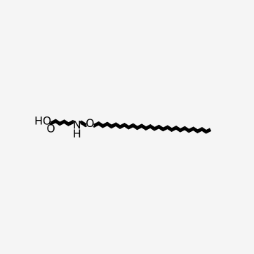 CCCCCCCCCCCCCCCCCCCCCCCCCCCCOCCNCCCCCC(=O)O